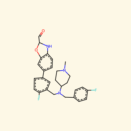 CN1CCC(N(Cc2ccc(F)cc2)Cc2cc(-c3ccc4c(c3)OC(C=O)N4)ccc2F)CC1